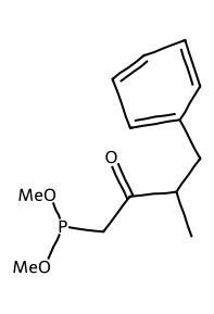 COP(CC(=O)C(C)Cc1ccccc1)OC